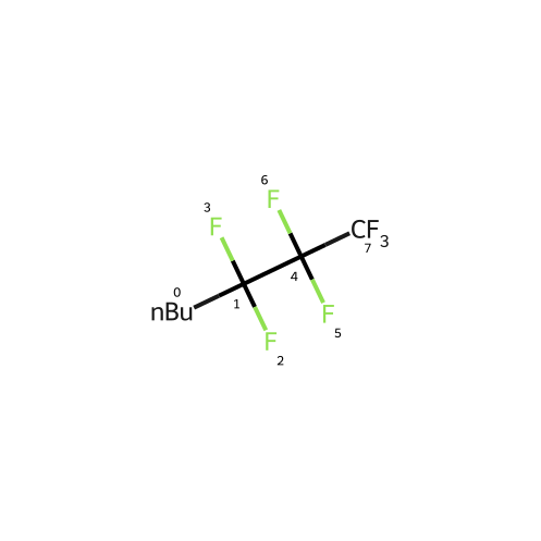 [CH2]CCCC(F)(F)C(F)(F)C(F)(F)F